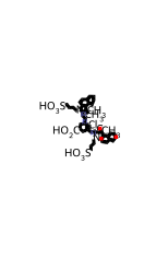 CC1(C)C(/C=C/C2=C(Cl)C(=C/C=C3/N(CCCCS(=O)(=O)O)c4ccc5ccccc5c4C3(C)C)/CC(C(=O)O)C2)=[N+](CCCCS(=O)(=O)O)c2ccc3ccccc3c21